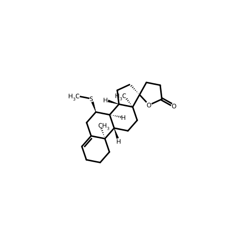 CS[C@@H]1CC2=CCCC[C@]2(C)[C@H]2CC[C@@]3(C)[C@@H](CC[C@@]34CCC(=O)O4)[C@H]12